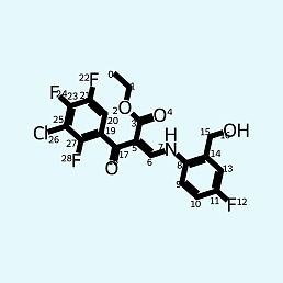 CCOC(=O)C(=CNc1ccc(F)cc1CO)C(=O)c1cc(F)c(F)c(Cl)c1F